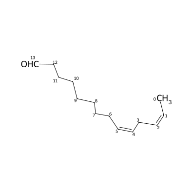 C/C=C\C/C=C\CCCCCCCC=O